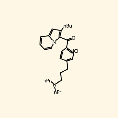 CCCCc1cc2ccccn2c1C(=O)c1ccc(CCCN(CCC)CCC)cc1.Cl